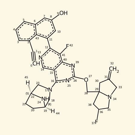 C#Cc1cccc2cc(O)cc(-c3ncc4c(N5C[C@H]6CC[C@@H](C5)N6)nc(OCC56CC(=C)CN5CC(F)C6)nc4c3F)c12